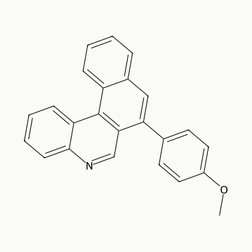 COc1ccc(-c2cc3ccccc3c3c2cnc2ccccc23)cc1